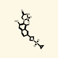 O=C1CN(c2c(O)cc3ccc(C4CN(S(=O)(=O)C5CC5)C4)cc3c2F)S(=O)(=O)N1